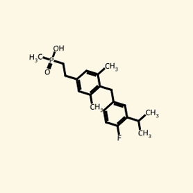 Cc1cc(CCP(C)(=O)O)cc(C)c1Cc1ccc(F)c(C(C)C)c1